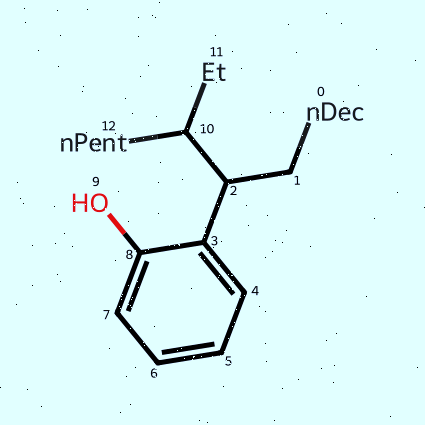 CCCCCCCCCCCC(c1ccccc1O)C(CC)CCCCC